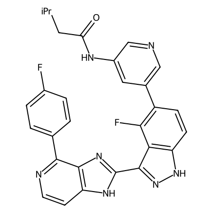 CC(C)CC(=O)Nc1cncc(-c2ccc3[nH]nc(-c4nc5c(-c6ccc(F)cc6)nccc5[nH]4)c3c2F)c1